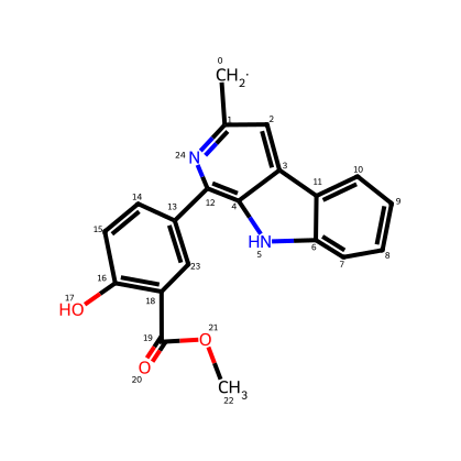 [CH2]c1cc2c([nH]c3ccccc32)c(-c2ccc(O)c(C(=O)OC)c2)n1